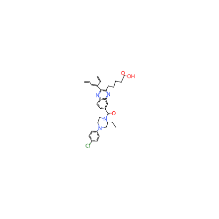 C=C/C=C(\C=C)c1nc2ccc(C(=O)N3CCN(c4ccc(Cl)cc4)C[C@H]3CC)cc2nc1CCCCC(=O)O